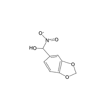 O=[N+]([O-])C(O)c1ccc2c(c1)OCO2